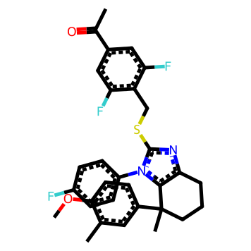 COc1ccc(C2(C)CCCc3nc(SCc4c(F)cc(C(C)=O)cc4F)n(-c4ccc(F)cc4)c32)cc1C